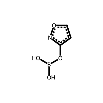 OB(O)Oc1ccon1